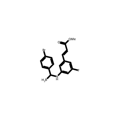 BC(Nc1cc(F)cc(/C=C/C(=O)OC)c1)c1ccc(Br)cc1